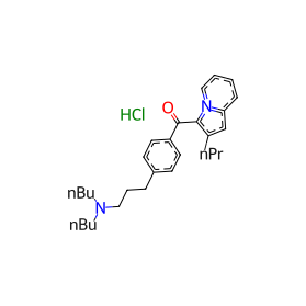 CCCCN(CCCC)CCCc1ccc(C(=O)c2c(CCC)cc3ccccn23)cc1.Cl